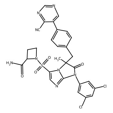 CC1(Cc2ccc(-c3cncnc3C#N)cc2)C(=O)N(c2cc(Cl)cc(Cl)c2)c2ncc(S(=O)(=O)N3CCC3C(N)=O)n21